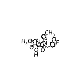 Cc1ccc(-c2nn(Cc3ccc(F)c(Cl)c3)c(=O)c3c(O)c4n(c23)CCN(C)C4=O)s1